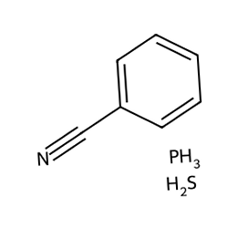 N#Cc1ccccc1.P.S